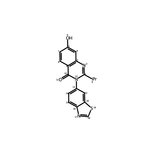 CC(C)c1nc2cc(O)ccc2c(=O)n1-c1ccc2ncsc2c1